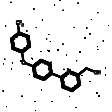 OCc1cccc(-c2ccc(Oc3ccc(C(F)(F)F)cc3)cc2)n1